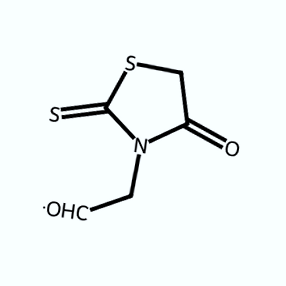 O=[C]CN1C(=O)CSC1=S